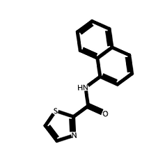 O=C(Nc1cccc2ccccc12)c1nccs1